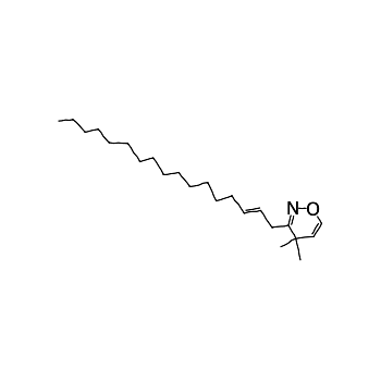 CCCCCCCCCCCCCCC=CCC1=NOC=CC1(C)C